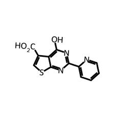 O=C(O)c1csc2nc(-c3ccccn3)nc(O)c12